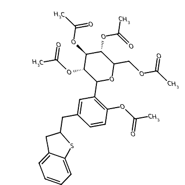 CC(=O)OCC1OC(c2cc(CC3Cc4ccccc4S3)ccc2OC(C)=O)[C@H](OC(C)=O)[C@@H](OC(C)=O)[C@@H]1OC(C)=O